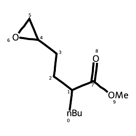 CCCCC(CCC1CO1)C(=O)OC